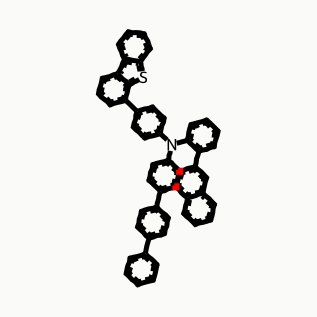 c1ccc(-c2ccc(-c3ccc(N(c4ccc(-c5cccc6c5sc5ccccc56)cc4)c4ccccc4-c4ccc5ccccc5c4)cc3)cc2)cc1